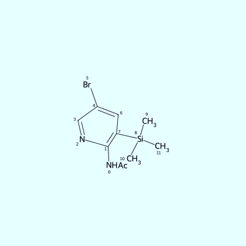 CC(=O)Nc1ncc(Br)cc1[Si](C)(C)C